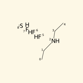 CCNCC.F.F.F.[S]